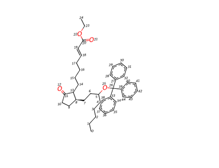 CCCCCC(CC[C@H]1CCC(=O)C1CCCCC=CC(=O)OCC)OC(c1ccccc1)(c1ccccc1)c1ccccc1